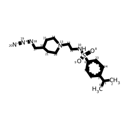 CC(C)c1ccc(S(=O)(=O)NCCN2CCC(CN=[N+]=[N-])CC2)cc1